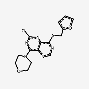 Clc1nc(N2CCOCC2)c2ncnc(SCc3ccco3)c2n1